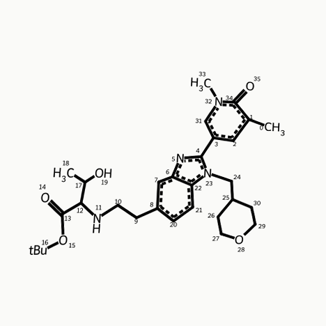 Cc1cc(-c2nc3cc(CCNC(C(=O)OC(C)(C)C)C(C)O)ccc3n2CC2CCOCC2)cn(C)c1=O